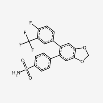 NS(=O)(=O)c1ccc(-c2cc3c(cc2-c2ccc(F)c(C(F)(F)F)c2)OCO3)cc1